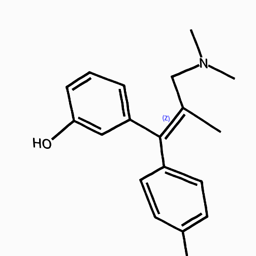 C/C(CN(C)C)=C(\c1ccc(C)cc1)c1cccc(O)c1